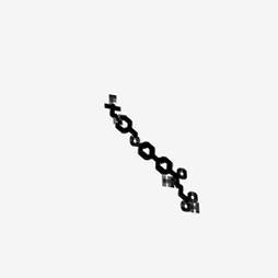 CC(C)(F)CN1CCC(COc2ccc(-c3ccc(C(=O)NCCC(=O)O)cc3)cc2)CC1